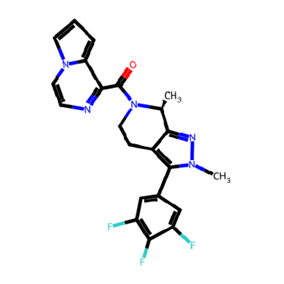 C[C@H]1c2nn(C)c(-c3cc(F)c(F)c(F)c3)c2CCN1C(=O)c1nccn2cccc12